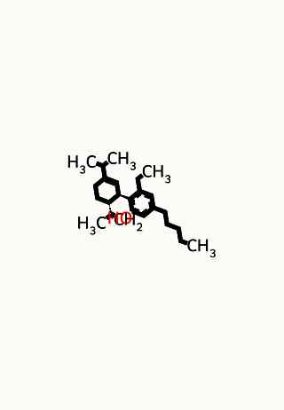 C=C(C)[C@@H]1CCC(C(C)C)=C[C@H]1c1c(O)cc(CCCCC)cc1CC